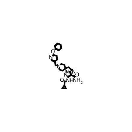 N#CCC1(n2cc(C(N)=O)c(NC(=O)C3CC3)n2)CCN(Cc2ccc(Oc3ccccc3)nc2)CC1